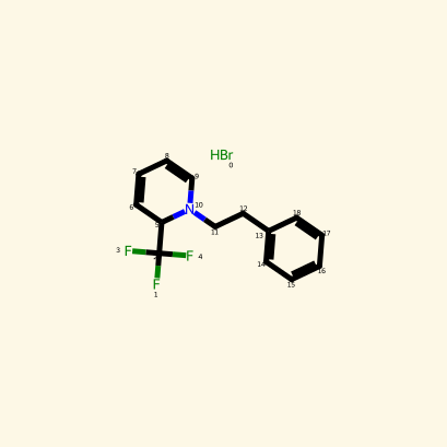 Br.FC(F)(F)C1C=CC=CN1CCc1ccccc1